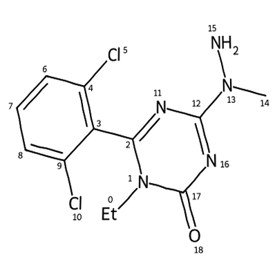 CCn1c(-c2c(Cl)cccc2Cl)nc(N(C)N)nc1=O